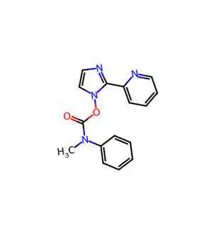 CN(C(=O)On1ccnc1-c1ccccn1)c1ccccc1